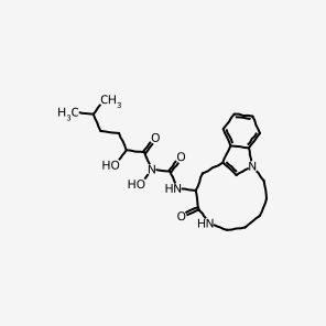 CC(C)CCC(O)C(=O)N(O)C(=O)NC1Cc2cn(c3ccccc23)CCCCCNC1=O